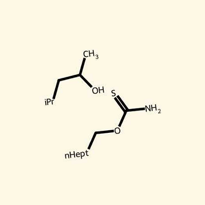 CC(C)CC(C)O.CCCCCCCCOC(N)=S